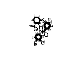 CC(=O)[C@H]1CCCC(Sc2cc(C(=O)Nc3ccc(F)c(Cl)c3)ccc2F)C1